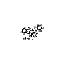 CCCCC[C@@H]1SC[C@H]2[C@@H]1N(Cc1ccccc1)C(=O)N2Cc1ccccc1